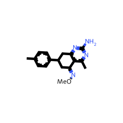 CO/N=C1\CC(c2ccc(C)cc2)Cc2nc(N)nc(C)c21